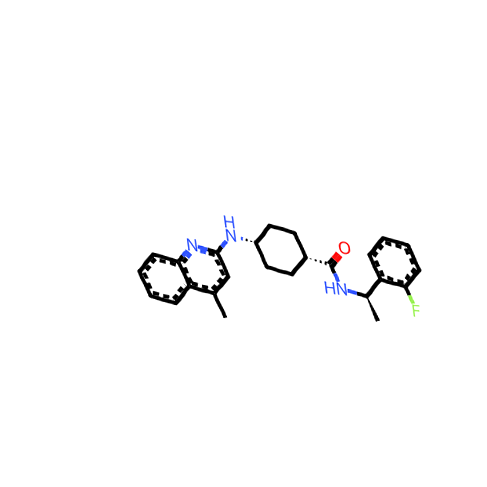 Cc1cc(N[C@H]2CC[C@@H](C(=O)N[C@H](C)c3ccccc3F)CC2)nc2ccccc12